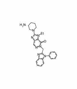 CCn1c(N2CCC[C@@H](N)C2)nc2cnn(Cc3nc4ccccc4n3-c3ccccc3)c(=O)c21